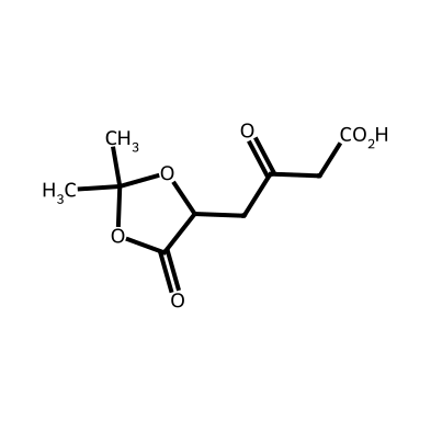 CC1(C)OC(=O)C(CC(=O)CC(=O)O)O1